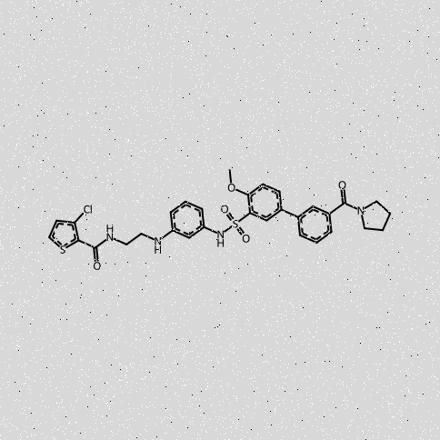 COc1ccc(-c2cccc(C(=O)N3CCCC3)c2)cc1S(=O)(=O)Nc1cccc(NCCNC(=O)c2sccc2Cl)c1